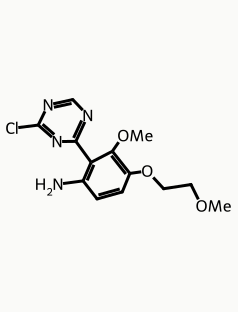 COCCOc1ccc(N)c(-c2ncnc(Cl)n2)c1OC